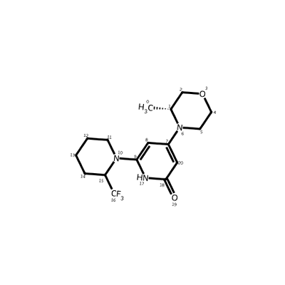 C[C@@H]1COCCN1c1cc(N2CCCCC2C(F)(F)F)[nH]c(=O)c1